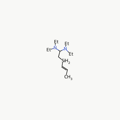 CC=C[SiH2]CC(N(CC)CC)N(CC)CC